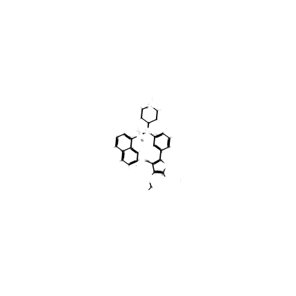 O=C(O)COc1c(C(=O)O)sc(-c2cccc(N(C3CCNCC3)S(=O)(=O)c3cccc4ccccc34)c2)c1Cl